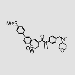 CSc1ccc(-c2ccc3c(c2)C=C(C(=O)Nc2ccc(CN(C)C4CCOCC4)cc2)CCS3(=O)=O)cc1